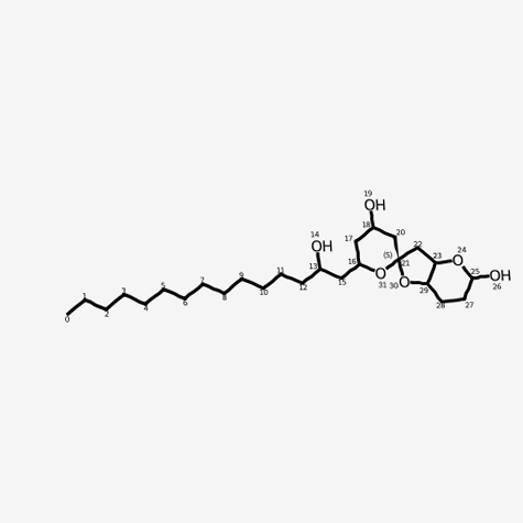 CCCCCCCCCCCCCC(O)CC1CC(O)C[C@]2(CC3OC(O)CCC3O2)O1